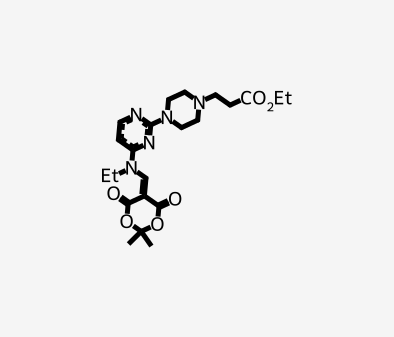 CCOC(=O)CCN1CCN(c2nccc(N(C=C3C(=O)OC(C)(C)OC3=O)CC)n2)CC1